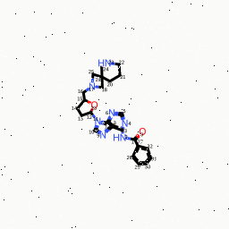 O=C(Nc1ncnc2c1ncn2C1CCC(CN2CC3(CCCNC3)C2)O1)c1ccccc1